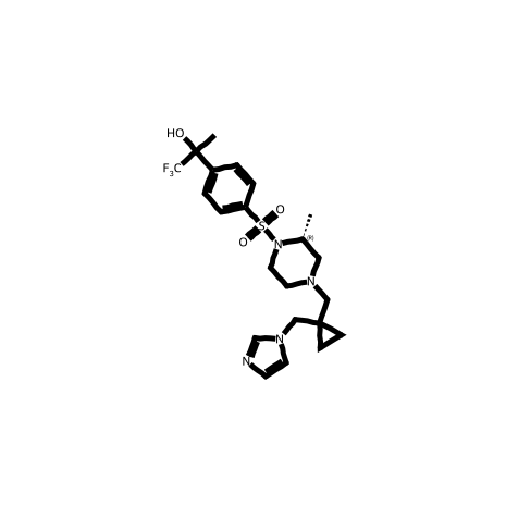 C[C@@H]1CN(CC2(Cn3ccnc3)CC2)CCN1S(=O)(=O)c1ccc(C(C)(O)C(F)(F)F)cc1